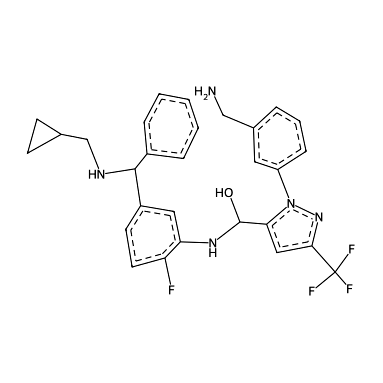 NCc1cccc(-n2nc(C(F)(F)F)cc2C(O)Nc2cc(C(NCC3CC3)c3ccccc3)ccc2F)c1